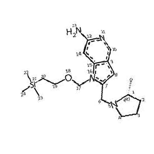 C[C@@H]1CCCN1Cc1cc2cnc(N)cc2n1COCC[Si](C)(C)C